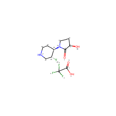 O=C(O)C(F)(F)F.O=C1[C@H](O)CCN1[C@@H]1CCNC[C@H]1F